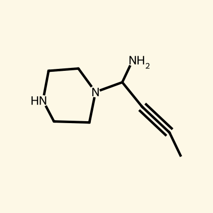 CC#CC(N)N1CCNCC1